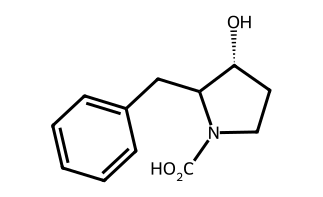 O=C(O)N1CC[C@@H](O)C1Cc1ccccc1